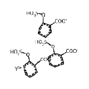 O=C([O-])c1ccccc1OS(=O)(=O)O.O=C([O-])c1ccccc1OS(=O)(=O)O.O=C([O-])c1ccccc1OS(=O)(=O)O.[Y+3]